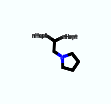 CCCCCCCC(CCCCCCC)CN1CCCC1